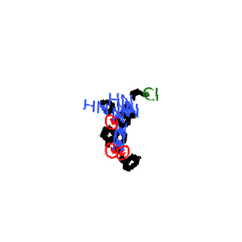 Cc1cccc2c1N(C(=O)OCc1ccccc1)CCN2c1cc2cnc(NC/C=C\CCl)nc2n(C2CCCNC2)c1=O